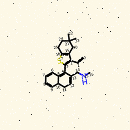 C=Cc1c(C2=C3C=CC=CC3CC=C2CNC)sc2c1CC(C)(C)CC2